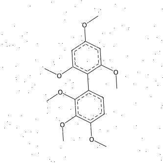 COc1cc(OC)c(-c2c[c]c(OC)c(OC)c2OC)c(OC)c1